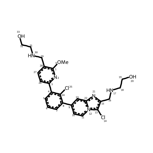 COc1nc(-c2cccc(-c3ccn4c(Cl)c(CNCCO)nc4c3)c2Cl)ccc1CNCCO